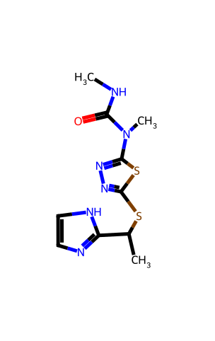 CNC(=O)N(C)c1nnc(SC(C)c2ncc[nH]2)s1